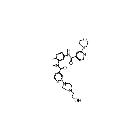 Cc1ccc(NC(=O)c2ccnc(N3CCOCC3)c2)cc1NC(=O)c1ccnc(N2CCN(CCO)CC2)c1